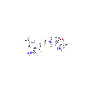 CC(C)N1CCC2(CC1)/C(=C/CC(C)N1CCC3(CC1)COC1(CC1)C3N)CC[C@H]2N